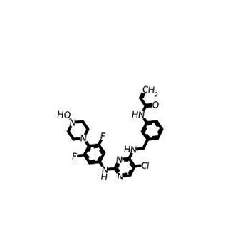 C=CC(=O)Nc1cccc(CNc2nc(Nc3cc(F)c(N4CCN(O)CC4)c(F)c3)ncc2Cl)c1